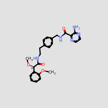 COc1ccccc1[C@@H](OC)C(=O)NCCc1ccc(CNC(=O)c2nccnc2N)cc1